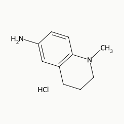 CN1CCCc2cc(N)ccc21.Cl